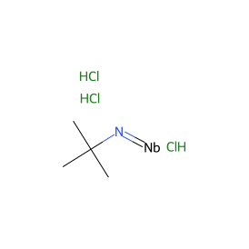 CC(C)(C)[N]=[Nb].Cl.Cl.Cl